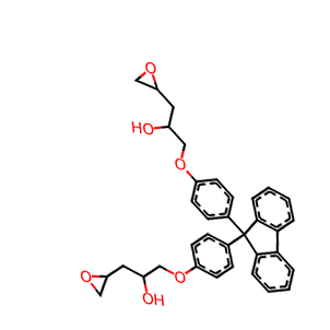 OC(COc1ccc(C2(c3ccc(OCC(O)CC4CO4)cc3)c3ccccc3-c3ccccc32)cc1)CC1CO1